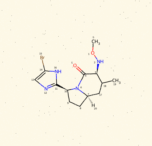 CON[C@@H]1C(=O)N2[C@H](CC[C@H]2c2ncc(Br)[nH]2)CC1C